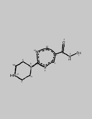 O=C(NO)c1cnc(N2CCNCC2)nc1